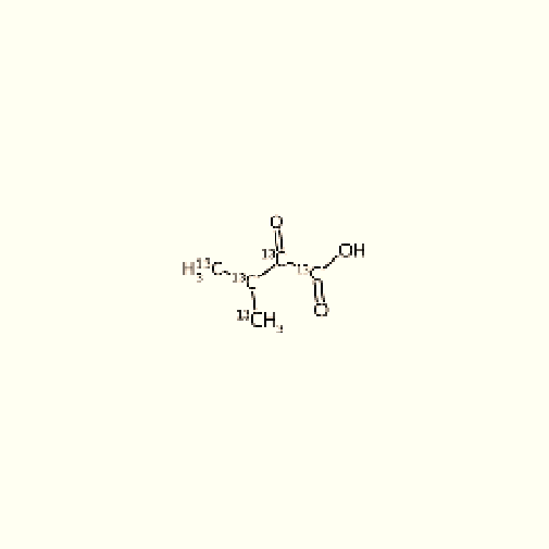 [13CH3][13CH]([13CH3])[13C](=O)[13C](=O)O